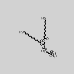 C[N+](C)(C)CCOP(=O)([O-])OC[C@@H](COC(=O)CCCCCCCCCCS)OC(=O)CCCCCCCCCCS